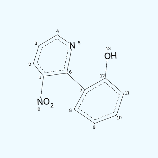 O=[N+]([O-])c1cccnc1-c1ccccc1O